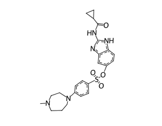 CN1CCCN(c2ccc(S(=O)(=O)Oc3ccc4[nH]c(NC(=O)C5CC5)nc4c3)cc2)CC1